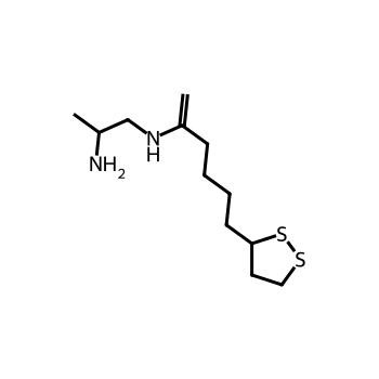 C=C(CCCCC1CCSS1)NCC(C)N